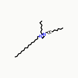 CCCCCCCCCCCCCCC[n+]1ccn(CCCCCCCCC)c1CCCCCC